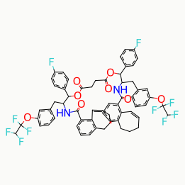 O=C(CCC(=O)OC(c1ccc(F)cc1)C(Cc1cccc(OC(F)(F)C(F)F)c1)NC(=O)c1cccc2c1C=CCCC2)OC(c1ccc(F)cc1)C(Cc1cccc(OC(F)(F)C(F)F)c1)NC(=O)c1cccc2c1C=CCCC2